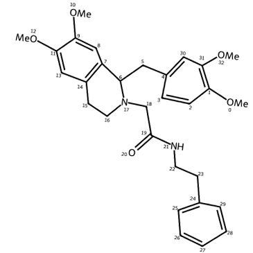 COc1ccc(CC2c3cc(OC)c(OC)cc3CCN2CC(=O)NCCc2ccccc2)cc1OC